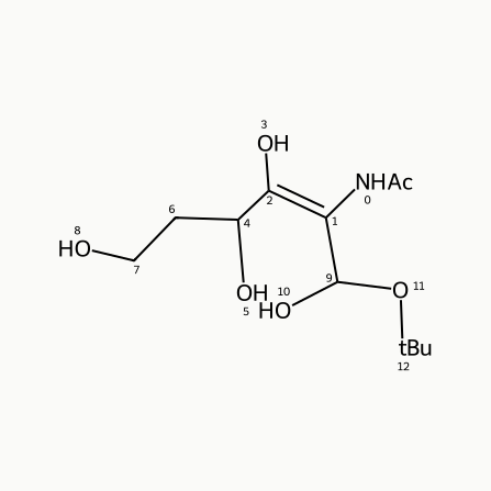 CC(=O)N/C(=C(\O)C(O)CCO)C(O)OC(C)(C)C